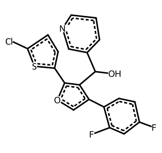 OC(c1cccnc1)c1c(-c2ccc(F)cc2F)coc1-c1ccc(Cl)s1